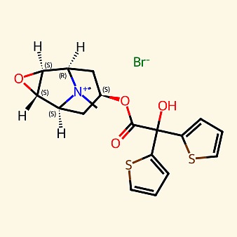 C[N+]1(C)[C@@H]2C[C@@H](OC(=O)C(O)(c3cccs3)c3cccs3)C[C@H]1[C@@H]1O[C@H]12.[Br-]